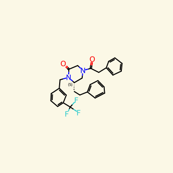 O=C(Cc1ccccc1)N1CC(=O)N(Cc2cccc(C(F)(F)F)c2)[C@@H](CCc2ccccc2)C1